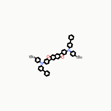 CC(C)(C)c1ccc(N(c2ccc(-c3ccccc3)cc2)c2ccc3c(c2)oc2cc4cc5c(cc4cc23)oc2cc(N(c3ccc(C(C)(C)C)cc3)c3cccc(-c4ccccc4)c3)ccc25)cc1